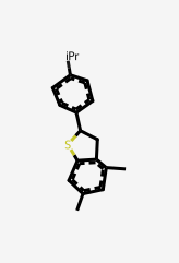 Cc1cc(C)c2c(c1)SC(c1ccc(C(C)C)cc1)C2